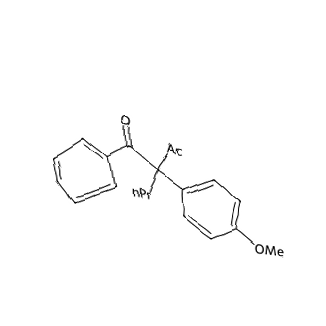 [CH2]CCC(C(C)=O)(C(=O)c1ccccc1)c1ccc(OC)cc1